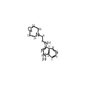 c1cc2[nH]nc(NCCN3CCOCC3)c2cn1